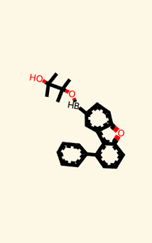 CC(C)(O)C(C)(C)OBc1ccc2oc3cccc(-c4ccccc4)c3c2c1